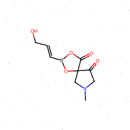 CN1CC(=O)C2(C1)OB(/C=C/CO)OC2=O